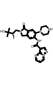 CC(C)(O)[C@H](F)CN1Cc2cc(NC(=O)c3cnn4cccnc34)c(N3CCNCC3)cc2C1=O